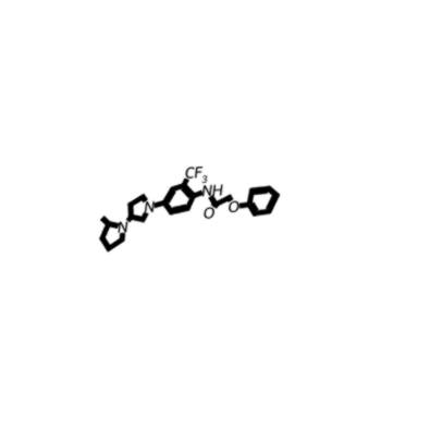 CC1CCCN1C1CCN(c2ccc(NC(=O)COc3ccccc3)c(C(F)(F)F)c2)C1